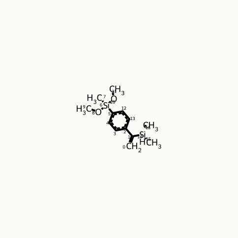 C=C(c1ccc([Si](C)(OC)OC)cc1)[SiH](C)C